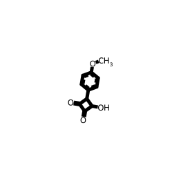 COc1ccc(C2C(=O)C(=O)C2O)cc1